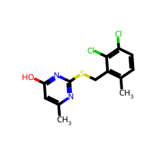 Cc1cc(O)nc(SCc2c(C)ccc(Cl)c2Cl)n1